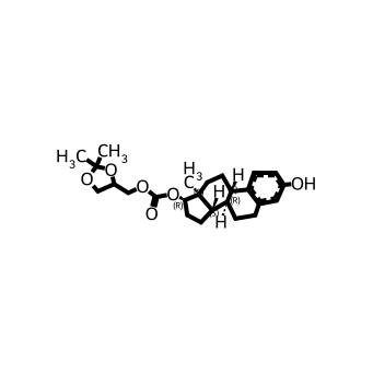 CC1(C)OCC(COC(=O)O[C@@H]2CC[C@H]3[C@@H]4CCc5cc(O)ccc5[C@H]4CC[C@]23C)O1